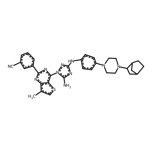 Cc1csc2c(-n3nc(Nc4ccc(N5CCN(C6CC7CCC6C7)CC5)cc4)nc3N)nc(-c3cccc(C#N)c3)nc12